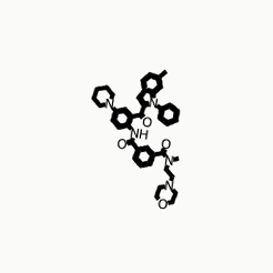 Cc1ccc2cc(C(=O)c3cc(N4CCCCC4)ccc3NC(=O)c3cccc(C(=O)N(C)CCN4CCOCC4)c3)n(-c3ccccc3)c2c1